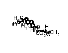 C=CC(=O)NCCCCC(NC(=O)C1CCC2(C)C(=CCC3C2CCC2(C)C(C(C)CCCC(C)C)CCC32)C1)C(=O)O